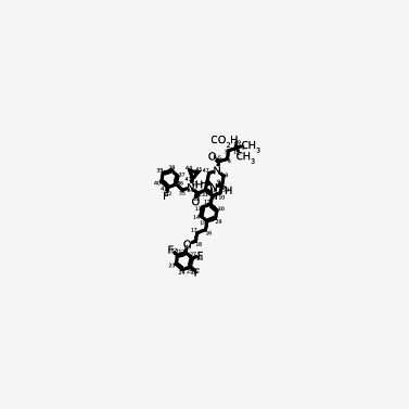 CC(C)(CCC(=O)N1C[C@H]2CC(c3ccc(CCCOc4c(F)ccc(F)c4F)cc3)=C(C(=O)N(Cc3ccccc3F)C3CC3)[C@@H](C1)N2)C(=O)O